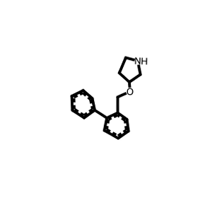 c1ccc(-c2ccccc2COC2CCNC2)cc1